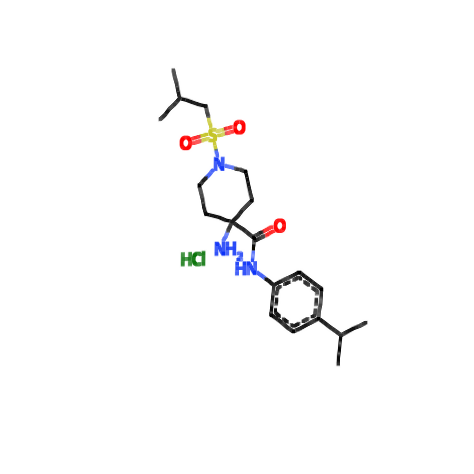 CC(C)CS(=O)(=O)N1CCC(N)(C(=O)Nc2ccc(C(C)C)cc2)CC1.Cl